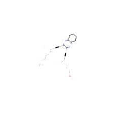 CCOCCOC(C#Cc1nc2ccccc2nc1C#CC(CC)OCCOCC)CC